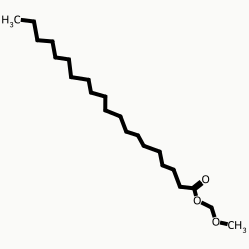 CCCCCCCCCCCCCCCCCCCC(=O)OCOC